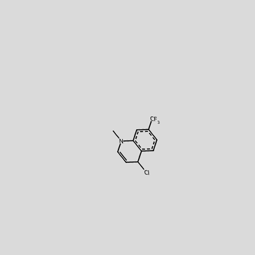 CN1C=CC(Cl)c2ccc(C(F)(F)F)cc21